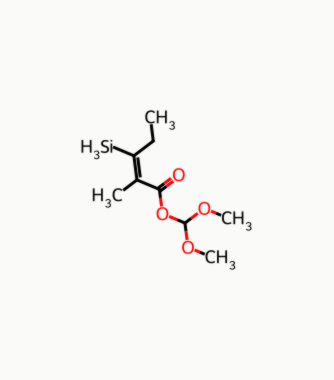 CCC([SiH3])=C(C)C(=O)OC(OC)OC